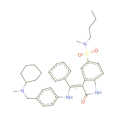 CCCCN(C)S(=O)(=O)c1ccc2c(c1)/C(=C(/Nc1ccc(CN(C)C3CCCCC3)cc1)c1ccccc1)C(=O)N2